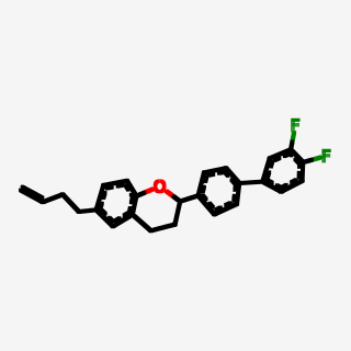 C=CCCc1ccc2c(c1)CCC(c1ccc(-c3ccc(F)c(F)c3)cc1)O2